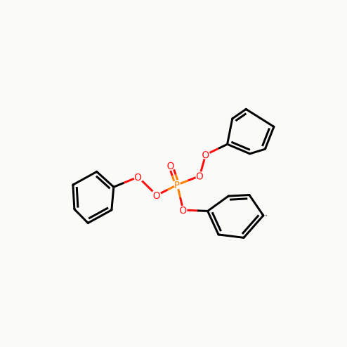 O=P(OOc1ccccc1)(OOc1ccccc1)Oc1cc[c]cc1